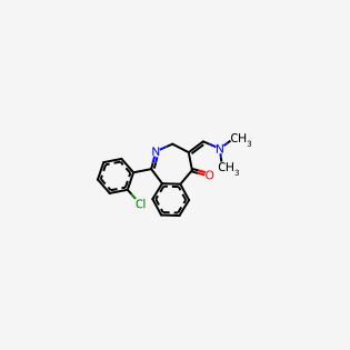 CN(C)C=C1CN=C(c2ccccc2Cl)c2ccccc2C1=O